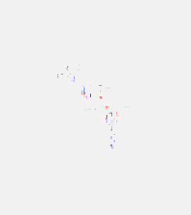 COc1cc2c(cc1OCCCOc1cc3c(cc1OC)C(=O)N1C=C(c4ccc(N5CCN(C)CC5)cc4)C[C@H]1C(=O)N3COCC[Si](C)(C)C)N(COCC[Si](C)(C)C)C(=O)[C@@H]1CC(C=CCN(CC3c4ccccc4-c4ccccc43)C(=O)O)=CN1C2=O